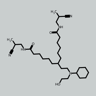 CC(C#N)CNC(=O)CCCCCC(CCCCCC(=O)NCC(C)C#N)CCN(CCO)C1CCCCC1